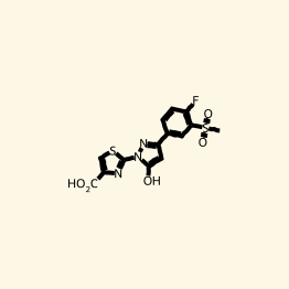 CS(=O)(=O)c1cc(-c2cc(O)n(-c3nc(C(=O)O)cs3)n2)ccc1F